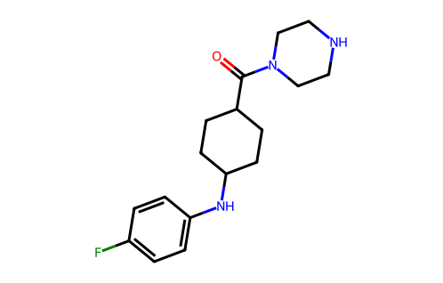 O=C(C1CCC(Nc2ccc(F)cc2)CC1)N1CCNCC1